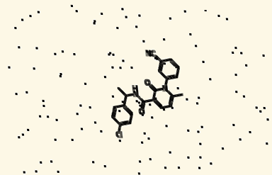 Cc1ccc(C(=O)NC(C)c2ccc(Cl)cc2)c(=O)n1-c1cccc(C#N)c1